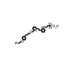 CCC(CC)(CCNc1cccc(C=Cc2cccc(COCCCCc3ccc(OCCC(C)C)cc3)n2)c1)C(=O)O